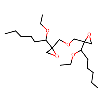 CCCCCC(OCC)C1(COCC2(C(CCCCC)OCC)CO2)CO1